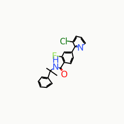 CC(C)(NC(=O)c1ccc(-c2ncccc2Cl)cc1F)c1ccccc1